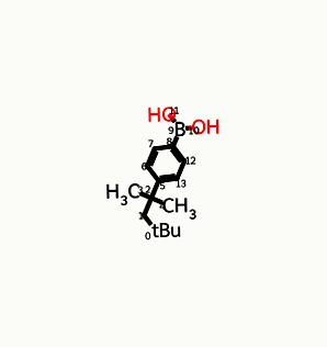 CC(C)(C)CC(C)(C)c1ccc(B(O)O)cc1